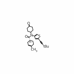 CC1=CC[C@H](C(=O)N(c2csc(C#CC(C)(C)C)c2)C2CCC(=O)CC2)CC1